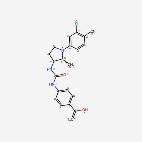 C=C(O)c1ccc(NC(=O)NC2CCN(c3ccc(C#N)c(Cl)c3)[C@H]2C)cc1